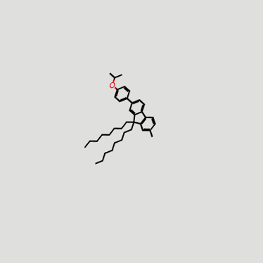 CCCCCCCCC1(CCCCCCCC)c2cc(C)ccc2-c2ccc(-c3ccc(OC(C)C)cc3)cc21